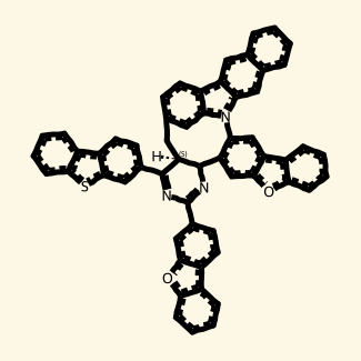 c1ccc2cc3c(cc2c1)c1ccc2cc1n3-c1cc3c(cc1C1N=C(c4ccc5c(c4)oc4ccccc45)N=C(c4ccc5c(c4)sc4ccccc45)[C@H]1C2)oc1ccccc13